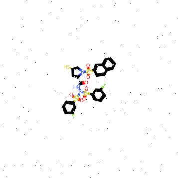 O=C(NN(S(=O)(=O)c1cccc(F)c1)S(=O)(=O)c1cccc(F)c1)[C@@H]1C[C@@H](S)CN1S(=O)(=O)c1ccc2ccccc2c1